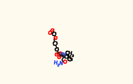 CC(C)(Cc1ccccc1)N[C@@H](CCC(N)=O)C(=O)OC(=O)c1ccc(-c2ccc(COc3ccc4c(c3)OCO4)cc2)cc1